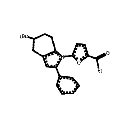 CCC(=O)c1ccc(-n2c(-c3ccccc3)cc3c2CCC(C(C)(C)C)C3)o1